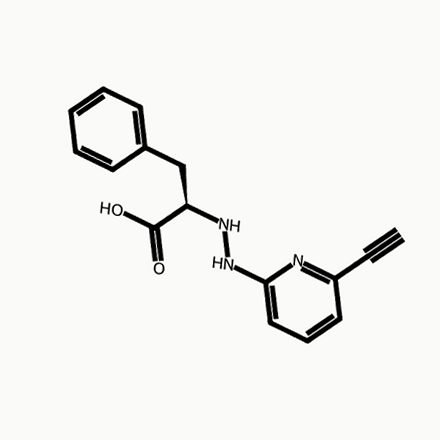 C#Cc1cccc(NN[C@H](Cc2ccccc2)C(=O)O)n1